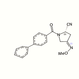 CO/N=C1/C[C@@H](C#N)N(C(=O)c2ccc(-c3ccccc3)cc2)C1